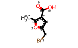 Cc1oc(CBr)cc1C(=O)O